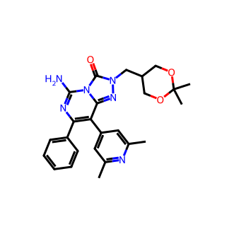 Cc1cc(-c2c(-c3ccccc3)nc(N)n3c(=O)n(CC4COC(C)(C)OC4)nc23)cc(C)n1